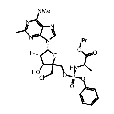 CNc1nc(C)nc2c1ncn2[C@@H]1O[C@](CCl)(CO[P@](=O)(N[C@H](C)C(=O)OC(C)C)Oc2ccccc2)[C@@H](O)[C@@H]1F